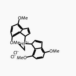 COc1ccc(OC)c2c1C=C[CH]2[Hf+2]1([CH]2C=Cc3c(OC)ccc(OC)c32)[CH2][CH2]1.[Cl-].[Cl-]